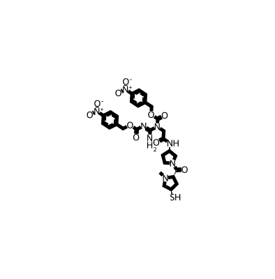 CN1C[C@@H](S)C[C@H]1C(=O)N1CC[C@H](NC(=O)CN(C(=O)OCc2ccc([N+](=O)[O-])cc2)C(N)=NC(=O)OCc2ccc([N+](=O)[O-])cc2)C1